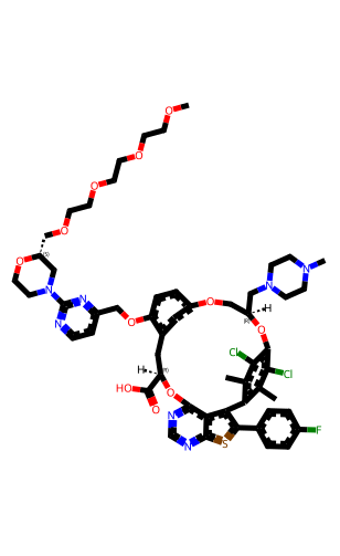 COCCOCCOCCOC[C@@H]1CN(c2nccc(COc3ccc4cc3C[C@H](C(=O)O)Oc3ncnc5sc(-c6ccc(F)cc6)c(c35)-c3c(C)c(Cl)c(c(Cl)c3C)O[C@H](CN3CCN(C)CC3)CO4)n2)CCO1